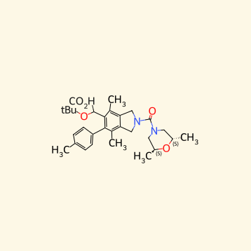 Cc1ccc(-c2c(C)c3c(c(C)c2C(OC(C)(C)C)C(=O)O)CN(C(=O)N2C[C@H](C)O[C@@H](C)C2)C3)cc1